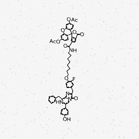 CC(=O)Oc1ccc2c(c1)Oc1cc(OC(C)=O)ccc1C21OC(=O)c2ccc(C(=O)NCCCCCCCCOc3ccc(Cc4nc5c(Cc6ccccc6)[nH]c(-c6ccc(O)cc6)cn-5c4=O)cc3F)cc21